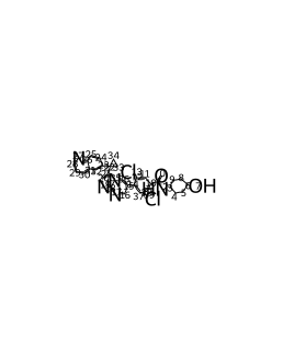 O=C(N[C@H]1CC[C@H](O)CC1)c1cc(Cl)c(-c2cnc3ncc(C4(c5ccc6ncccc6c5)CC4)n3c2)cc1Cl